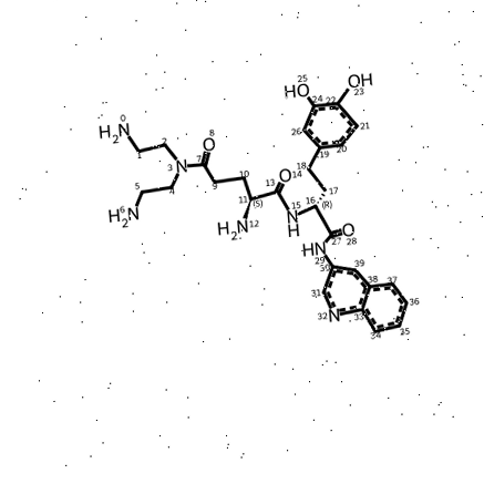 NCCN(CCN)C(=O)CC[C@H](N)C(=O)N[C@H](CCc1ccc(O)c(O)c1)C(=O)Nc1cnc2ccccc2c1